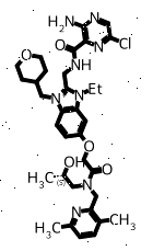 CCn1c(CNC(=O)c2nc(Cl)cnc2N)[n+](CC2CCOCC2)c2ccc(OCC(=O)N(Cc3nc(C)ccc3C)C[C@H](C)O)cc21